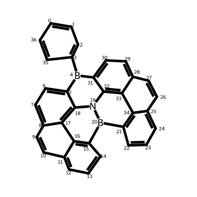 c1ccc(B2c3ccc4ccc5cccc6c5c4c3N3B6c4cccc5ccc6ccc2c3c6c45)cc1